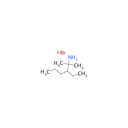 Br.CCCC(CC)C(C)(C)N